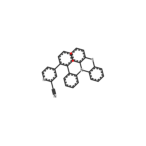 N#Cc1cc(-c2ccccc2-c2ccccc2N2c3ccccc3Sc3ccccc32)ccn1